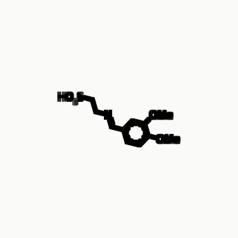 COc1ccc(C=NCCS(=O)(=O)O)cc1OC